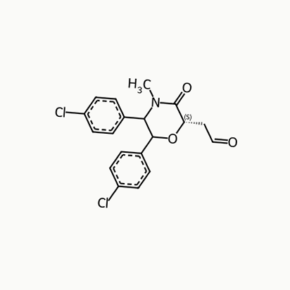 CN1C(=O)[C@H](CC=O)OC(c2ccc(Cl)cc2)C1c1ccc(Cl)cc1